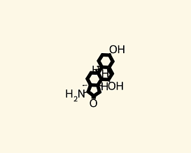 C[C@]12CC[C@H]3[C@H]([C@H]1CC(=O)[C@@H]2N)[C@@H](O)C=C1C[C@H](O)CC[C@@]13C